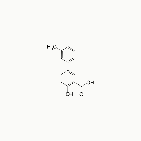 Cc1cccc(-c2ccc(O)c(C(=O)O)c2)c1